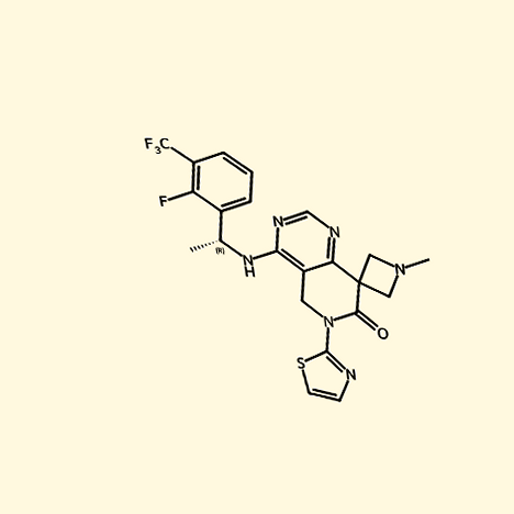 C[C@@H](Nc1ncnc2c1CN(c1nccs1)C(=O)C21CN(C)C1)c1cccc(C(F)(F)F)c1F